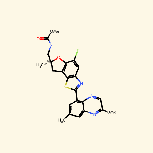 COC(=O)NC[C@]1(C)Cc2c(c(F)cc3nc(-c4cc(C)cc5nc(OC)cnc45)sc23)O1